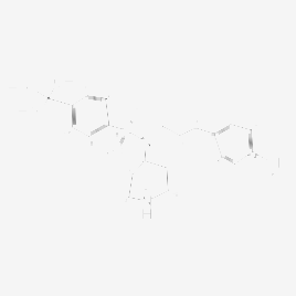 CC(C)(C)c1ccc(S(=O)(=O)N(CCCc2ccc(O)cc2)C2CCNCC2)cc1